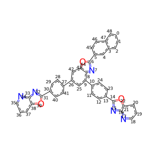 c1ccc2cc(-c3nc4c(-c5ccc(-c6nc7ncccc7o6)cc5)cc(-c5ccc(-c6nc7ncccc7o6)cc5)cc4o3)ccc2c1